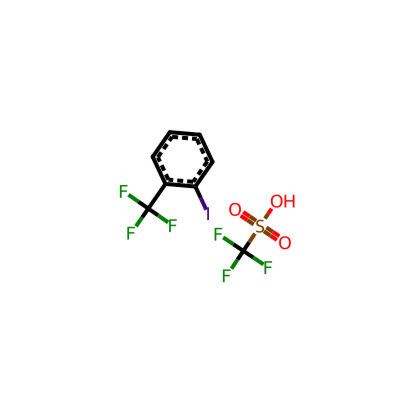 FC(F)(F)c1ccccc1I.O=S(=O)(O)C(F)(F)F